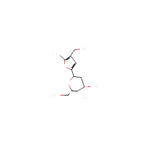 O=Cc1oc(C2O[C@H](CO)[C@@H](O)[C@H](O)[C@H]2O)cc1CO